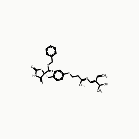 C=C/C(=C\N=C(/C)CCOc1ccc(C[C@@]2(C(=O)OCc3ccccc3)SC(=O)NC2=O)cc1)C(C)O